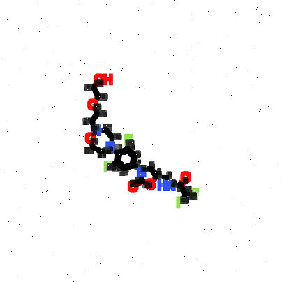 O=C(NC[C@H]1CN(c2cc(F)c(N3CCON(CCOCCO)CC3)c(F)c2)C(=O)O1)C(F)F